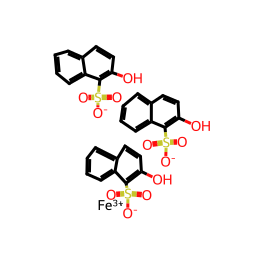 O=S(=O)([O-])c1c(O)ccc2ccccc12.O=S(=O)([O-])c1c(O)ccc2ccccc12.O=S(=O)([O-])c1c(O)ccc2ccccc12.[Fe+3]